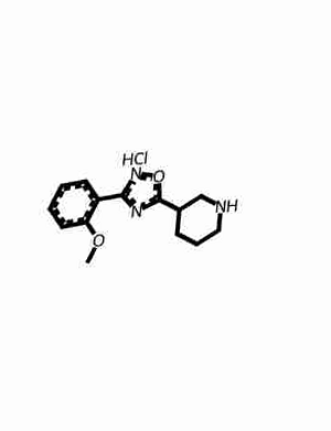 COc1ccccc1-c1noc(C2CCCNC2)n1.Cl